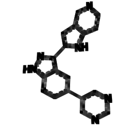 c1cc2[nH]c(-c3n[nH]c4ccc(-c5cncnc5)cc34)cc2cn1